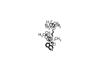 C[CH][C@@H](N(CCCCO[Si](C)(C)C(C)(C)C)C(=O)OC(C)(C)C)S(=O)(=O)c1cccc2cncc(Cl)c12